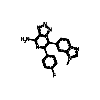 Cn1cnc2ccc(-c3c(-c4ccc(F)cc4)nc(N)c4nnnn34)cc21